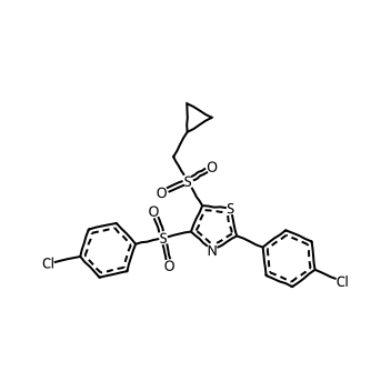 O=S(=O)(CC1CC1)c1sc(-c2ccc(Cl)cc2)nc1S(=O)(=O)c1ccc(Cl)cc1